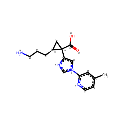 Cc1ccnc(-n2cnc(C3(C(=O)O)C[C@@H]3CCCN)c2)c1